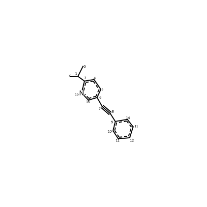 CC(C)c1ccc(C#Cc2ccccc2)cn1